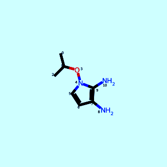 CC(C)On1ccc(N)c1N